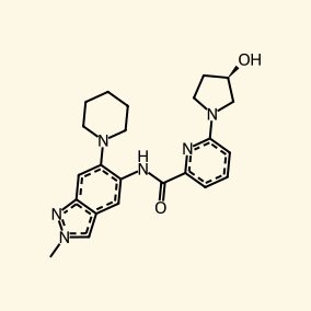 Cn1cc2cc(NC(=O)c3cccc(N4CC[C@@H](O)C4)n3)c(N3CCCCC3)cc2n1